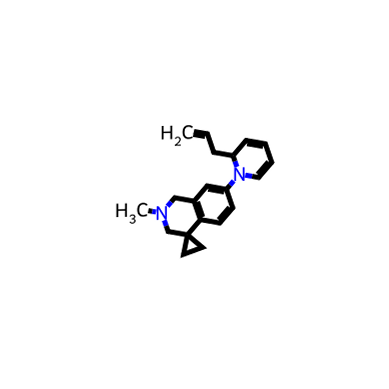 C=CCC1C=CC=CN1c1ccc2c(c1)CN(C)CC21CC1